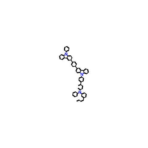 C=C/C=C\c1cccc(N(C(=C)/C=C\C(=C)c2ccc(-n3c4ccccc4c4cc(C5C=CC(C6C=c7c(n(-c8ccccc8)c8ccccc78)=CC6)=CC5)ccc43)cc2)c2ccccc2)c1